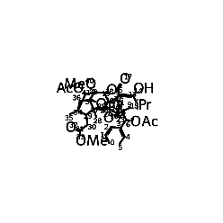 C/C=C\C(=C/C)C(OC(C)=O)C(C)(C)C1/C(=C(/O)C(C)C)C(=O)OC2C13OC1(C)OC3(CC)C3(C)C(CC(=O)OC)C4(C)CC3(O1)C2(OC)C4OC(C)=O